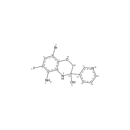 Nc1c(F)cc(Br)c2c1NC(O)(c1cccnc1)CO2